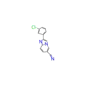 N#Cc1ccc2nc(-c3cccc(Cl)c3)cn2c1